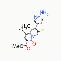 COC(=O)c1cc(C2CC2)c2c(C)c(-c3ccc(N)nc3)c(F)cn2c1=O